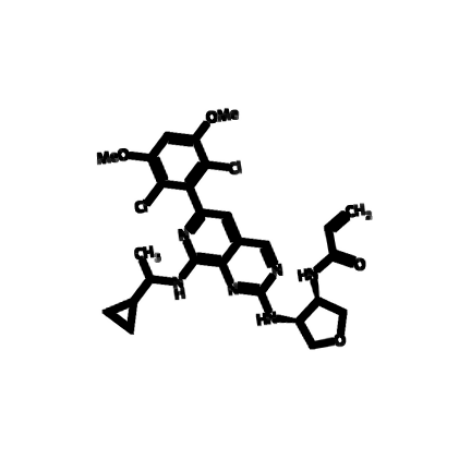 C=CC(=O)N[C@H]1COC[C@H]1Nc1ncc2cc(-c3c(Cl)c(OC)cc(OC)c3Cl)nc(NC(C)C3CC3)c2n1